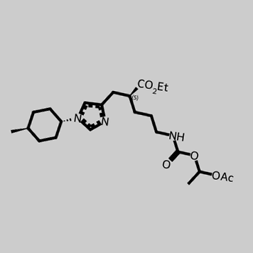 CCOC(=O)[C@@H](CCCNC(=O)OC(C)OC(C)=O)Cc1cn([C@H]2CC[C@H](C)CC2)cn1